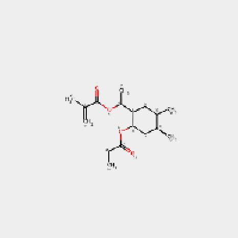 C=C(C)C(=O)OC(C)C1CC(C)[C@@H](C)CC1OC(=O)CC